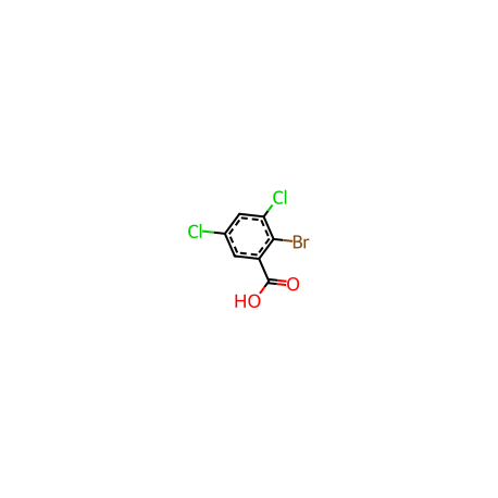 O=C(O)c1cc(Cl)cc(Cl)c1Br